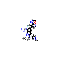 CC(=O)N1CC[C@H](N(C(=O)O)c2cc3cc(-c4cnc5c(c4C)NCCO5)c(F)c(N)c3cn2)C1